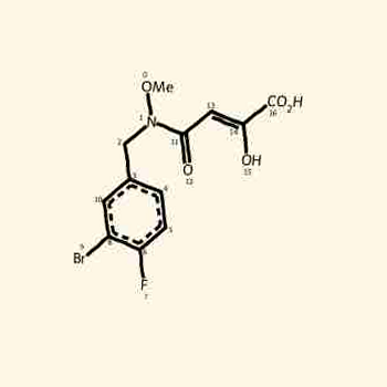 CON(Cc1ccc(F)c(Br)c1)C(=O)/C=C(\O)C(=O)O